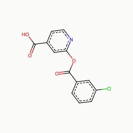 O=C(O)c1ccnc(OC(=O)c2cccc(Cl)c2)c1